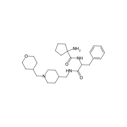 NC1(C(=O)NC(Cc2ccccc2)C(=O)NCC2CCN(CC3CCOCC3)CC2)CCCC1